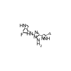 Nc1nc(NCc2cc(F)cc3[nH]ccc23)ncc1-c1cc(C2CC2)[nH]n1